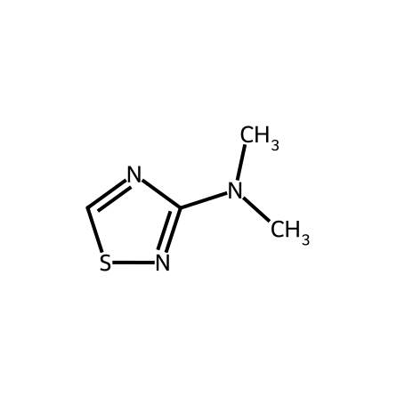 CN(C)c1ncsn1